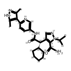 Cc1n[nH]c(C)c1-c1ccc(NC(=O)[C@H](c2cnn(C(C)C)c2C(N)=O)C2CCCCC2)cn1